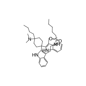 CCCCCS(=O)(=O)NCCc1c(C2(c3[nH]c4ccccc4c3C)CCC(CCCC)(N(C)C)CC2)[nH]c2ccccc12